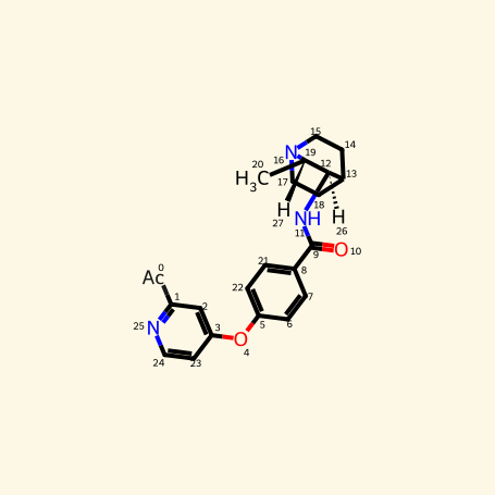 CC(=O)c1cc(Oc2ccc(C(=O)N[C@@H]3C4CCN(CC4)[C@H]3C)cc2)ccn1